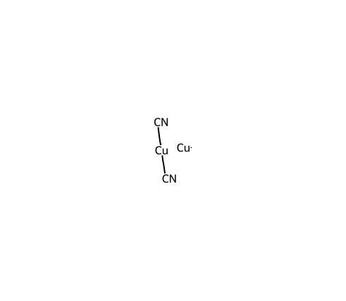 N#[C][Cu][C]#N.[Cu]